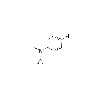 CN(c1ccc(I)cc1)C1CC1